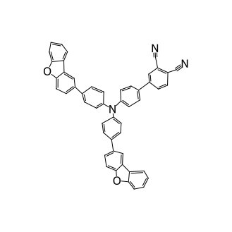 N#Cc1ccc(-c2ccc(N(c3ccc(-c4ccc5oc6ccccc6c5c4)cc3)c3ccc(-c4ccc5oc6ccccc6c5c4)cc3)cc2)cc1C#N